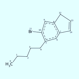 CCCCCc1cc2c(cc1Br)CC=C2